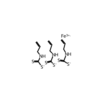 C=CCNC(=S)[S-].C=CCNC(=S)[S-].C=CCNC(=S)[S-].[Fe+3]